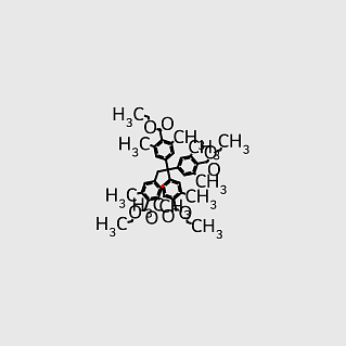 CCOC(=O)c1c(C)cc(CC(c2cc(C)c(C(=O)OCC)c(C)c2)(c2cc(C)c(C(=O)OCC)c(C)c2)c2cc(C)c(C(=O)OCC)c(C)c2)cc1C